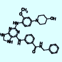 COc1cc(N2CCC(O)CC2)ccc1Nc1nc2c(c(Nc3cccc(C(=O)NCc4ccccc4)c3)n1)NCN2